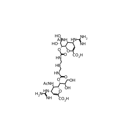 CC(=O)N[C@H]1[C@H]([C@H](OC(=O)NCBCNC(=O)O[C@@H]([C@@H]2OC(C(=O)O)=C[C@H](NC(=N)N)[C@H]2NC(C)=O)[C@H](O)CO)[C@H](O)CO)OC(C(=O)O)=C[C@@H]1NC(=N)N